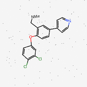 CNCc1cc(-c2ccncc2)ccc1Oc1ccc(Cl)c(Cl)c1